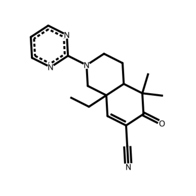 CCC12C=C(C#N)C(=O)C(C)(C)C1CCN(c1ncccn1)C2